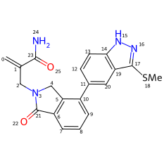 C=C(CN1Cc2c(cccc2-c2ccc3[nH]nc(SC)c3c2)C1=O)C(N)=O